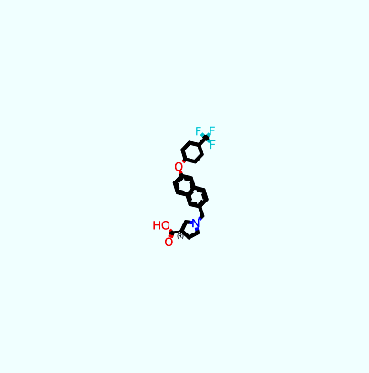 O=C(O)[C@@H]1CCN(Cc2ccc3cc(OC4CCC(C(F)(F)F)CC4)ccc3c2)C1